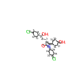 O=C1[C@H](CCC(O)c2ccc(Cl)cc2)[C@@H](c2ccc(O)cc2)N1c1ccc(Cl)cc1